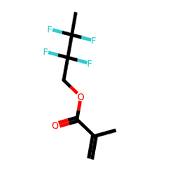 C=C(C)C(=O)OCC(F)(F)C(C)(F)F